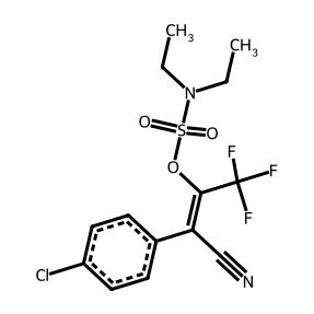 CCN(CC)S(=O)(=O)OC(=C(C#N)c1ccc(Cl)cc1)C(F)(F)F